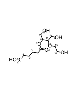 O=C(O)CCCCC(=O)OC(CO)C(CO)OCCO